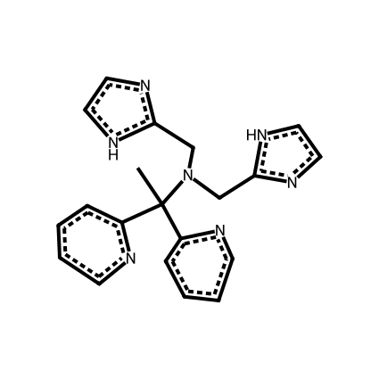 CC(c1ccccn1)(c1ccccn1)N(Cc1ncc[nH]1)Cc1ncc[nH]1